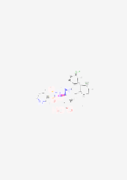 CCC(CNS(=O)(=O)c1cccnc1)N1C(=O)C(C)(CC(=O)O)CC(c2cccc(Cl)c2)C1c1ccc(Cl)cc1